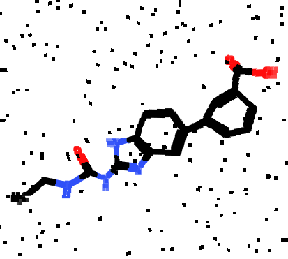 CCNC(=O)Nc1nc2cc(-c3cccc(C(=O)O)c3)ccc2[nH]1